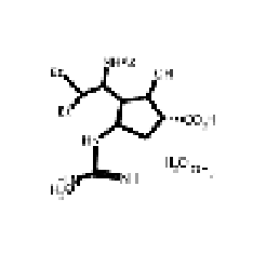 CCC(CC)C(NC(C)=O)C1C(NC(=N)N)C[C@@H](C(=O)O)C1O.O.O.O